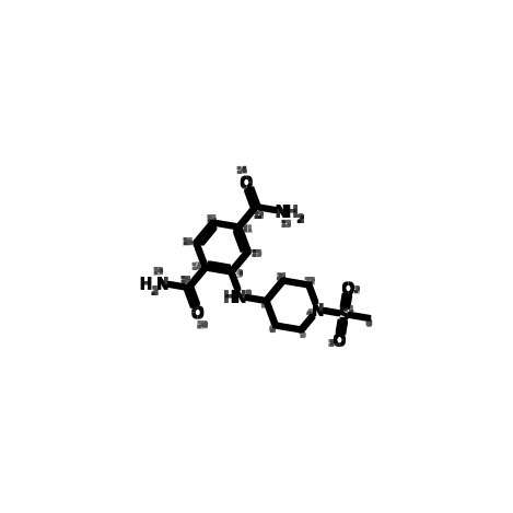 CS(=O)(=O)N1CCC(Nc2cc(C(N)=O)ccc2C(N)=O)CC1